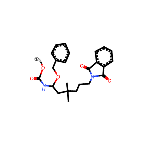 CC(C)(CCCN1C(=O)c2ccccc2C1=O)CC(NC(=O)OC(C)(C)C)OCc1ccccc1